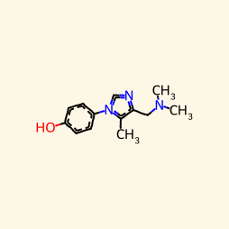 Cc1c(CN(C)C)ncn1-c1ccc(O)cc1